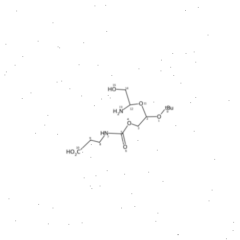 CC(C)(C)OC(COC(=O)NCCC(=O)O)OC(N)CO